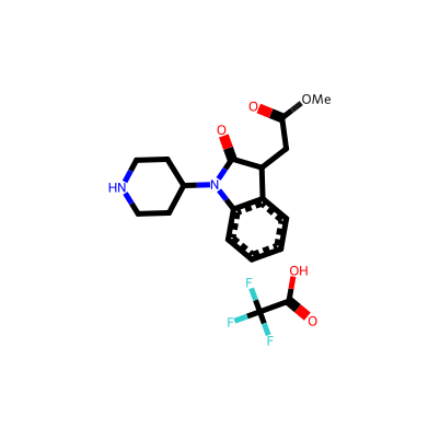 COC(=O)CC1C(=O)N(C2CCNCC2)c2ccccc21.O=C(O)C(F)(F)F